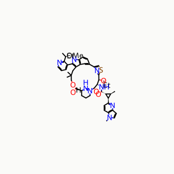 CCO[C@@H]1c2nc(cs2)-c2ccc3c(c2)c(c(-c2cccnc2[C@H](C)OC)n3CC)CC(C)(C)COC(=O)[C@@H]2CCCN(N2)C(=O)[C@H]1NC(=O)[C@@H]1[C@@H](C)[C@H]1c1ccc2c(ccn2C)n1